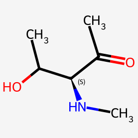 CN[C@H](C(C)=O)C(C)O